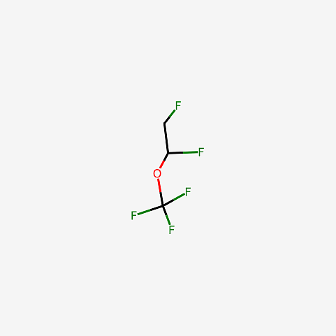 FCC(F)OC(F)(F)F